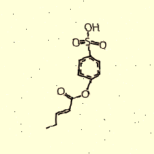 CCC=CC(=O)Oc1ccc(S(=O)(=O)O)cc1